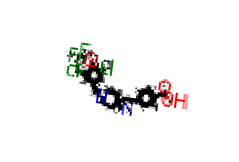 O=C(O)c1ccc(C2=NCC3(CCN(Cc4cc(Cl)c(OC(F)(F)F)c(Cl)c4)CC3)C2)cc1